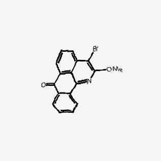 COc1nc2c3c(cccc3c1Br)C(=O)c1ccccc1-2